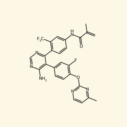 C=C(C)C(=O)Nc1ccc(-c2ncnc(N)c2-c2ccc(Oc3nccc(C)n3)c(F)c2)c(C(F)(F)F)c1